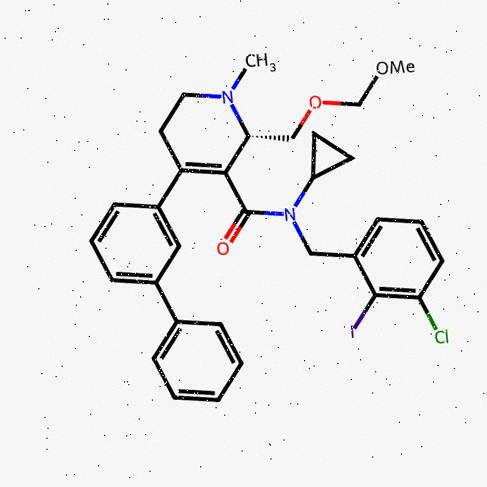 COCOC[C@@H]1C(C(=O)N(Cc2cccc(Cl)c2I)C2CC2)=C(c2cccc(-c3ccccc3)c2)CCN1C